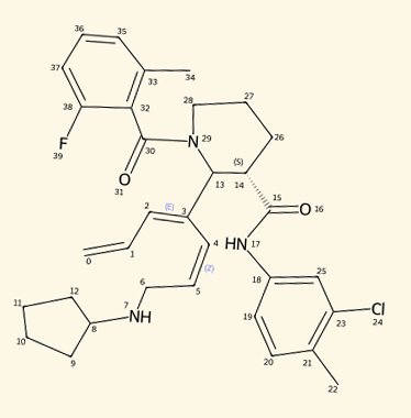 C=C/C=C(\C=C/CNC1CCCC1)C1[C@@H](C(=O)Nc2ccc(C)c(Cl)c2)CCCN1C(=O)c1c(C)cccc1F